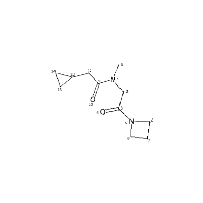 CN(CC(=O)N1CCC1)C(=O)CC1CC1